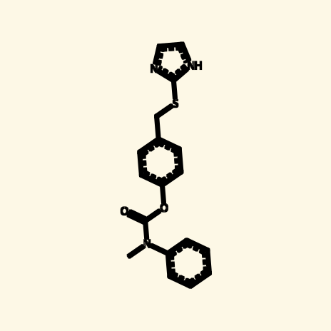 CN(C(=O)Oc1ccc(CSc2ncc[nH]2)cc1)c1ccccc1